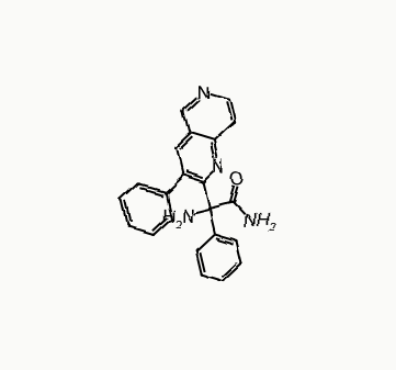 NC(=O)C(N)(c1ccccc1)c1nc2ccncc2cc1-c1ccccc1